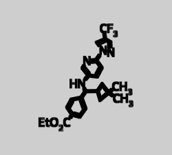 CCOC(=O)c1ccc(C(Nc2ccc(-n3cc(C(F)(F)F)cn3)nc2)C2CC(C)(C)C2)cc1